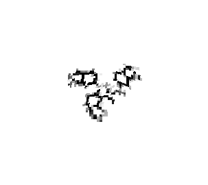 O=S(=O)(Nc1ccc2cn[nH]c2c1)c1c(Nc2ccc3cn[nH]c3c2)ccc2nonc12